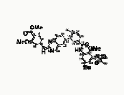 COC(=O)c1ccc(Nc2ncc3cc(-c4cc(C(=O)Nc5cc(C(C)(C)C)cc(NS(C)(=O)=O)c5OC)ccc4C)ccc3n2)cc1OC